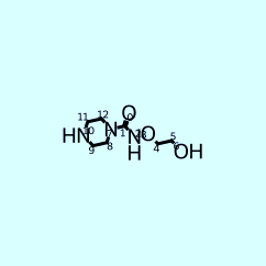 O=C(NOCCO)N1CCNCC1